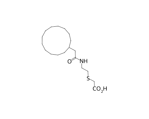 O=C(O)CSCCNC(=O)CC1CCCCCCCCCCCC1